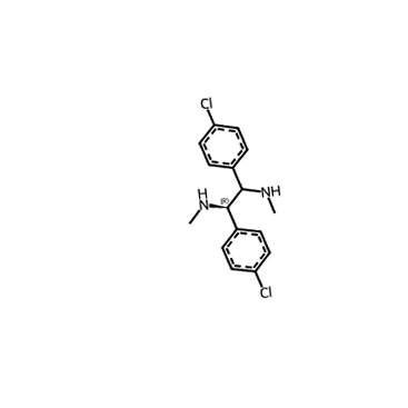 CNC(c1ccc(Cl)cc1)[C@H](NC)c1ccc(Cl)cc1